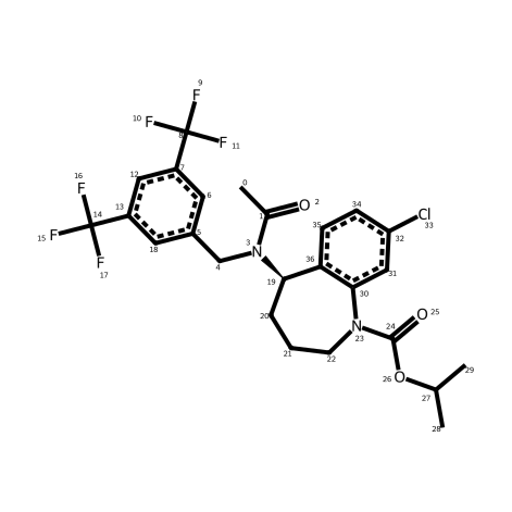 CC(=O)N(Cc1cc(C(F)(F)F)cc(C(F)(F)F)c1)[C@@H]1CCCN(C(=O)OC(C)C)c2cc(Cl)ccc21